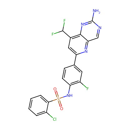 Nc1ncc2nc(-c3ccc(NS(=O)(=O)c4ccccc4Cl)c(F)c3)cc(C(F)F)c2n1